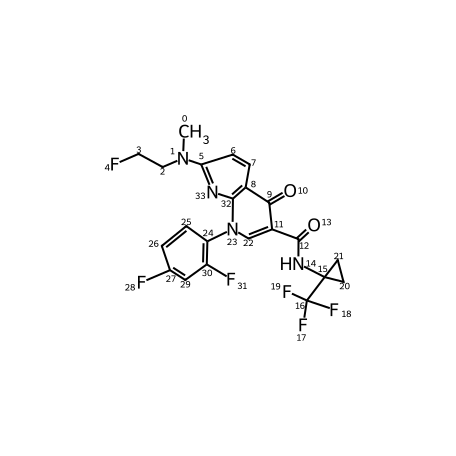 CN(CCF)c1ccc2c(=O)c(C(=O)NC3(C(F)(F)F)CC3)cn(-c3ccc(F)cc3F)c2n1